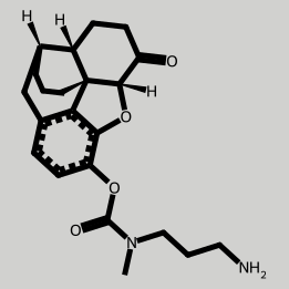 CN(CCCN)C(=O)Oc1ccc2c3c1O[C@H]1C(=O)CC[C@H]4[C@H](CCC[C@]314)C2